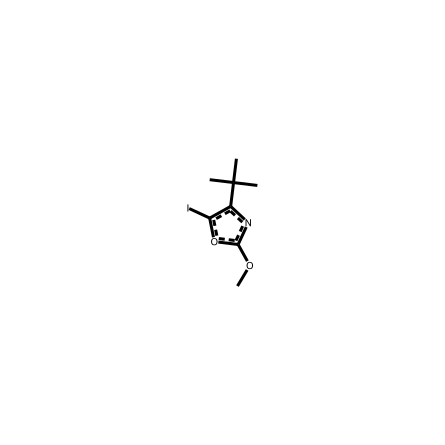 COc1nc(C(C)(C)C)c(I)o1